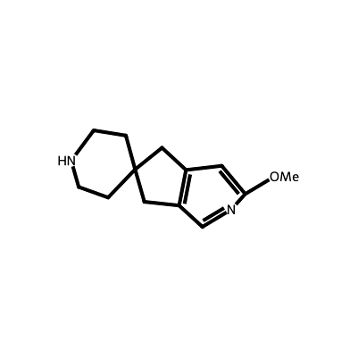 COc1cc2c(cn1)CC1(CCNCC1)C2